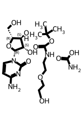 CC(C)(C)OC(=O)NCCOCCO.NC(=O)O.Nc1ccn([C@@H]2O[C@H](CO)[C@@H](O)[C@@H]2O)c(=O)n1